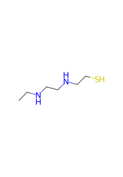 CCNCCNCCS